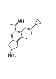 CC(=N)c1cc2c(c(C)c1/C=C(\C)C1CC1)CC(N)C2